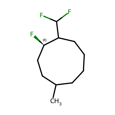 CC1CCCCC(C(F)F)[C@H](F)CC1